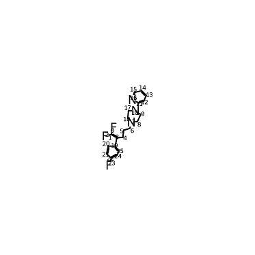 FC(F)=C(CCCN1CCN(c2ccccn2)CC1)c1ccc(F)cc1